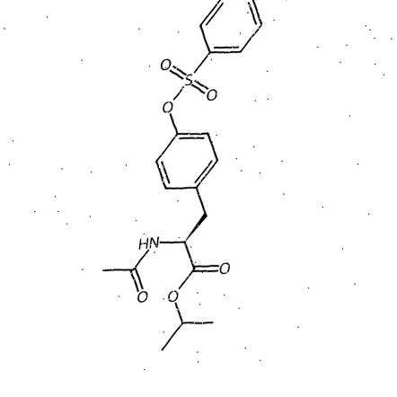 CC(=O)N[C@@H](Cc1ccc(OS(=O)(=O)c2ccccc2)cc1)C(=O)OC(C)C